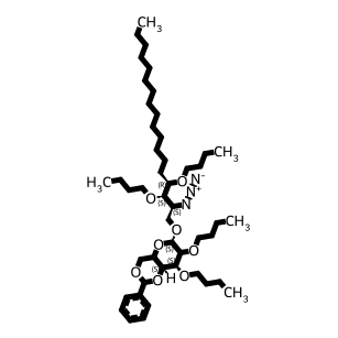 CCCCCCCCCCCCCC[C@@H](OCCCC)[C@@H](OCCCC)[C@H](CO[C@H]1OC2COC(c3ccccc3)O[C@@H]2[C@H](OCCCC)C1OCCCC)N=[N+]=[N-]